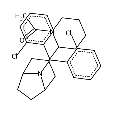 CC(=O)N1CCCCC1C1CC2CCC(C1)N2C(c1ccccc1Cl)c1ccccc1Cl